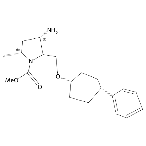 COC(=O)N1C(CO[C@H]2CC[C@@H](c3ccccc3)CC2)[C@@H](N)C[C@H]1C